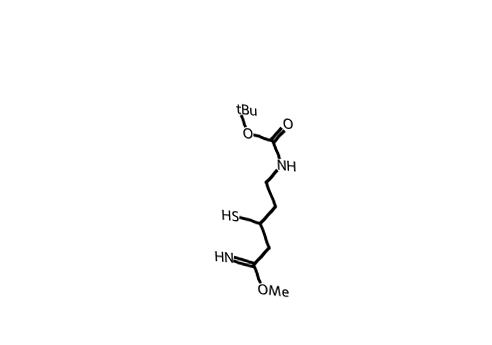 COC(=N)CC(S)CCNC(=O)OC(C)(C)C